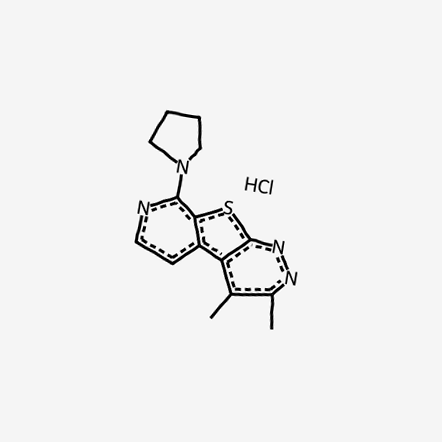 Cc1nnc2sc3c(N4CCCC4)nccc3c2c1C.Cl